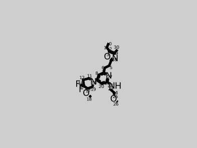 CCc1oc(CCc2cc(N3CCC(F)(F)C(OC)C3)cc(NCCOC)n2)nc1C